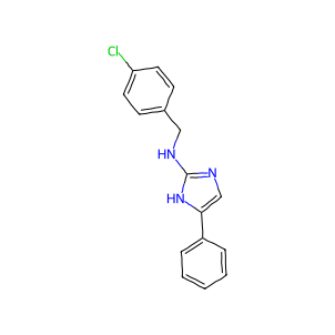 Clc1ccc(CNc2ncc(-c3ccccc3)[nH]2)cc1